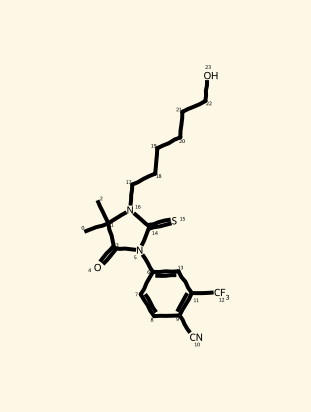 CC1(C)C(=O)N(c2ccc(C#N)c(C(F)(F)F)c2)C(=S)N1CCCCCCO